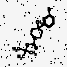 CC(C)(C)OC(=O)N1CCC(C)(c2cccc(Br)n2)CC1